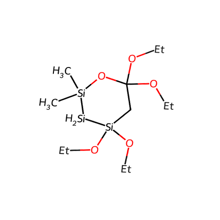 CCOC1(OCC)C[Si](OCC)(OCC)[SiH2][Si](C)(C)O1